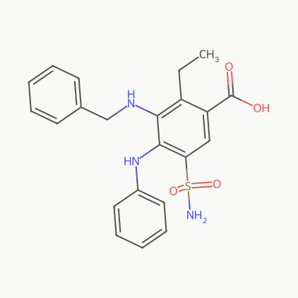 CCc1c(C(=O)O)cc(S(N)(=O)=O)c(Nc2ccccc2)c1NCc1ccccc1